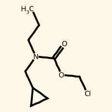 CCCN(CC1CC1)C(=O)OCCl